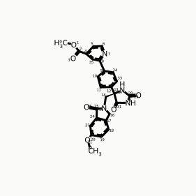 COC(=O)c1ccnc(-c2ccc([C@]3(CN4Cc5ccc(OC)cc5C4=O)NC(=O)NC3=O)cc2)c1